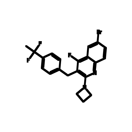 CC(F)(F)c1ccc(Cc2c(N3CCC3)nc3ccc(Br)cc3c2F)cc1